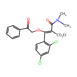 CCOC(=O)C(C(=O)N(C)C)=C(OCC(=O)c1ccccc1)c1ccc(Cl)cc1Cl